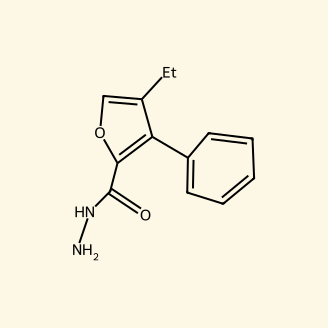 CCc1coc(C(=O)NN)c1-c1ccccc1